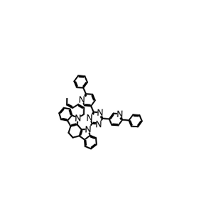 C/C=C\C=C/Cn1c2c(c3ccccc31)CCc1c-2n(-c2nc(-c3ccc(-c4ccccc4)nc3)nc(-c3ccc(-c4ccccc4)nc3)n2)c2ccccc12